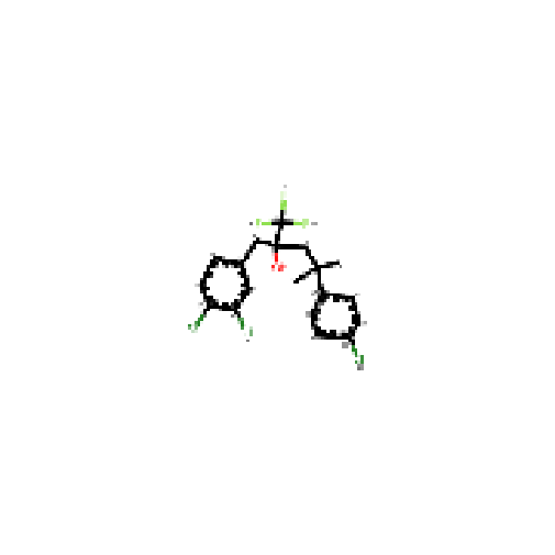 CC(C)(CC(O)(Cc1ccc(Cl)c(Cl)c1)C(F)(F)F)c1ccc(Cl)cc1